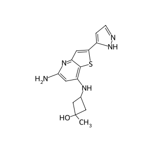 CC1(O)CC(Nc2cc(N)nc3cc(-c4ccn[nH]4)sc23)C1